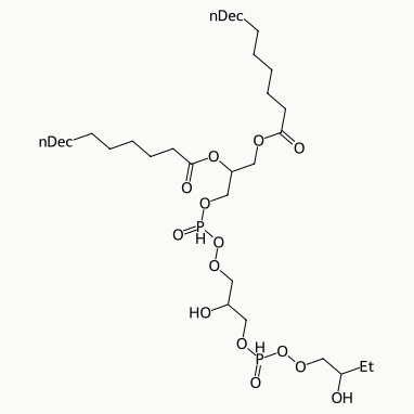 CCCCCCCCCCCCCCCC(=O)OCC(CO[PH](=O)OOCC(O)CO[PH](=O)OOCC(O)CC)OC(=O)CCCCCCCCCCCCCCC